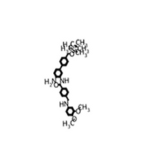 COc1ccc(NCc2ccc(C(=O)Nc3cc(-c4ccc(CO[Si](C)(C)C(C)(C)C)cc4)ccc3N)cc2)cc1OC